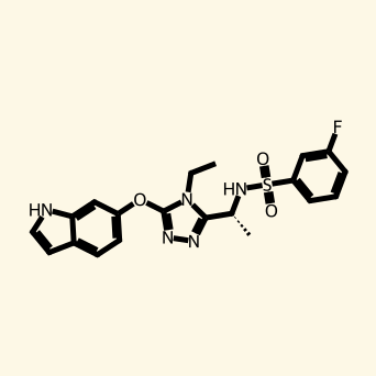 CCn1c(Oc2ccc3cc[nH]c3c2)nnc1[C@@H](C)NS(=O)(=O)c1cccc(F)c1